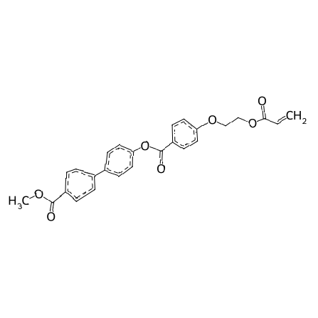 C=CC(=O)OCCOc1ccc(C(=O)Oc2ccc(-c3ccc(C(=O)OC)cc3)cc2)cc1